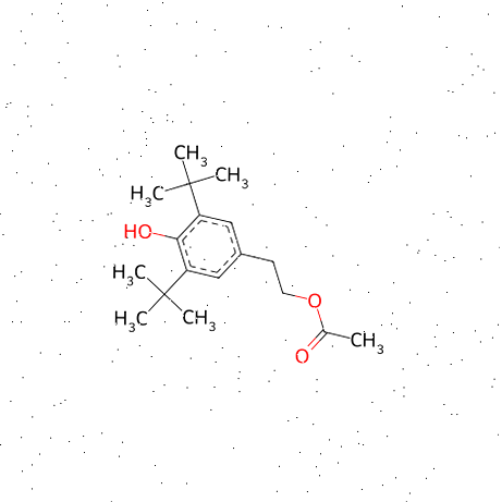 CC(=O)OCCc1cc(C(C)(C)C)c(O)c(C(C)(C)C)c1